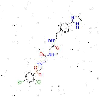 O=C(CNCS(=O)(=O)c1ccc(Cl)cc1Cl)NCC(=O)NCCc1ccc(C2=NCCN2)cc1